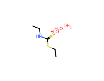 CCNC(=S)SCC.O.O.O